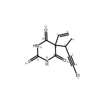 C=CC1(C(C)C#CCC)C(=O)NC(=S)NC1=O